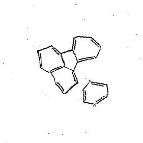 c1ccc2c(c1)-c1cccc3cccc-2c13.c1cnccn1